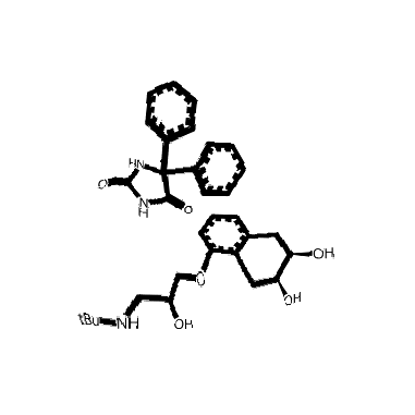 CC(C)(C)NCC(O)COc1cccc2c1C[C@H](O)[C@H](O)C2.O=C1NC(=O)C(c2ccccc2)(c2ccccc2)N1